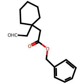 O=CCC1(CC(=O)OCc2ccccc2)CCCCC1